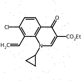 C=Cc1c(Cl)ccc2c(=O)c(C(=O)OCC)cn(C3CC3)c12